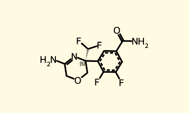 NC(=O)c1cc(F)c(F)c([C@@]2(C(F)F)COCC(N)=N2)c1